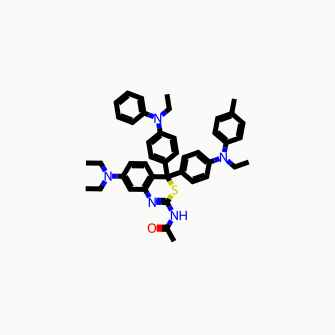 CCN(CC)c1ccc2c(c1)N=C(NC(C)=O)SC2(c1ccc(N(CC)c2ccccc2)cc1)c1ccc(N(CC)c2ccc(C)cc2)cc1